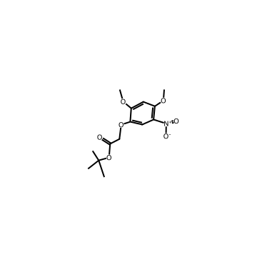 COc1cc(OC)c([N+](=O)[O-])cc1OCC(=O)OC(C)(C)C